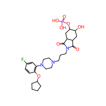 O=C1C2CC(O)C(OP(=O)(O)O)CC2C(=O)N1CCCN1CCN(c2cc(F)ccc2OC2CCCC2)CC1